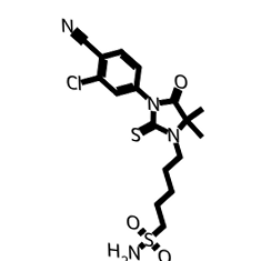 CC1(C)C(=O)N(c2ccc(C#N)c(Cl)c2)C(=S)N1CCCCCS(N)(=O)=O